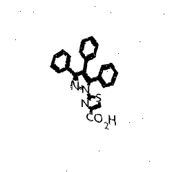 O=C(O)c1csc(-n2nc(-c3ccccc3)c(-c3ccccc3)c2-c2ccccc2)n1